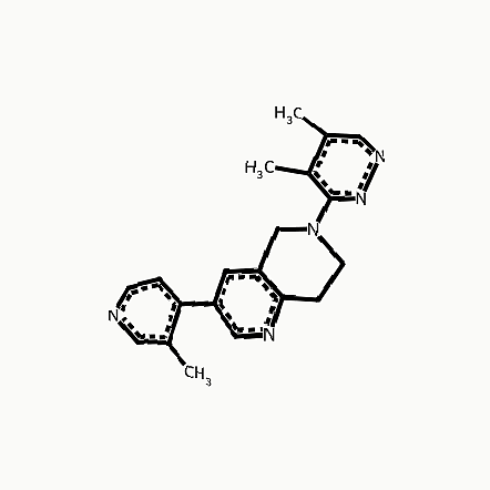 Cc1cnccc1-c1cnc2c(c1)CN(c1nncc(C)c1C)CC2